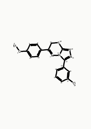 CCOc1ccc(C2=Nn3c(nnc3-c3cccc(Cl)c3)SC2)cc1